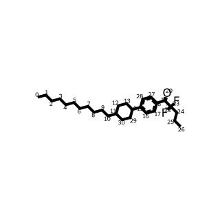 CCCCCCCCCCCC1CCC(c2ccc(C(=O)C(F)(F)CCC)cc2)CC1